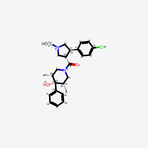 C[C@@H]1CN(C(=O)[C@@H]2CN(C(=O)O)C[C@H]2c2ccc(Cl)cc2)C[C@H](C)[C@@]1(O)c1ccccc1